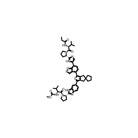 CCC(=O)N[C@H](C(=O)N1CCC[C@H]1c1ncc(-c2ccc(-c3sc(-c4ccc5nc([C@@H]6CCCN6C(=O)[C@@H](NC(=O)OC)C(C)C)[nH]c5c4)c4c3CC3(CCCC3)C4)c3cnoc23)[nH]1)C(C)C